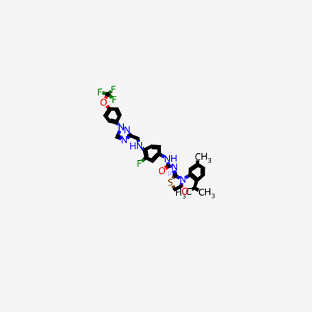 Cc1ccc(C(C)C)c(N2C(=O)CS/C2=N\C(=O)Nc2ccc(NCc3ncn(-c4ccc(OC(F)(F)F)cc4)n3)c(F)c2)c1